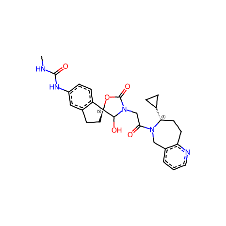 CNC(=O)Nc1ccc2c(c1)CC[C@]21OC(=O)N(CC(=O)N2Cc3cccnc3CC[C@H]2C2CC2)C1O